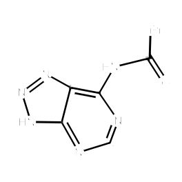 CC(C)C(=O)Nc1ncnc2[nH]nnc12